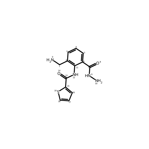 NCc1cccc(C(=O)NN)c1NC(=O)c1cccs1